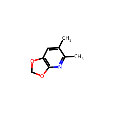 Cc1cc2c(nc1C)OCO2